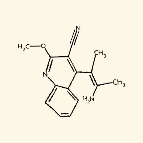 COc1nc2ccccc2c(C(C)=C(C)N)c1C#N